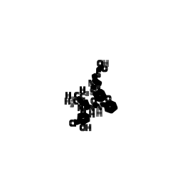 CC(C)(C)c1cc(NC(=O)NCc2ccccc2Oc2ccc3sc4nc(CSCC(=O)O)cn4c3c2)n(-c2ccc(O)c(Cl)c2)n1